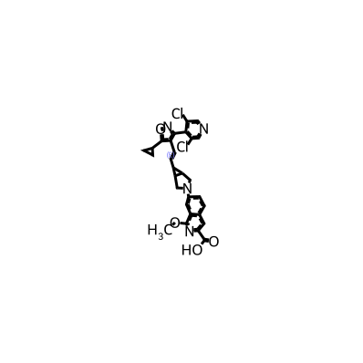 COc1nc(C(=O)O)cc2ccc(N3CC4C(/C=C/c5c(-c6c(Cl)cncc6Cl)noc5C5CC5)C4C3)cc12